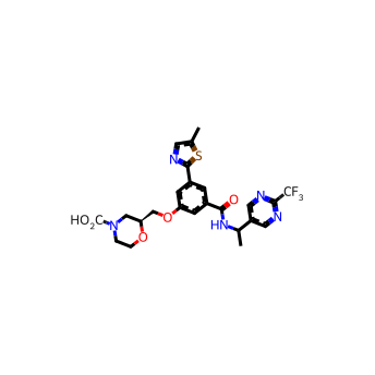 Cc1cnc(-c2cc(OC[C@@H]3CN(C(=O)O)CCO3)cc(C(=O)NC(C)c3cnc(C(F)(F)F)nc3)c2)s1